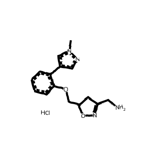 Cl.Cn1cc(-c2ccccc2OCC2CC(CN)=NO2)cn1